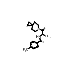 CC(NC(=O)c1ccc(C(F)(F)F)cc1)C(=O)N1CCC2(CC1)CC2